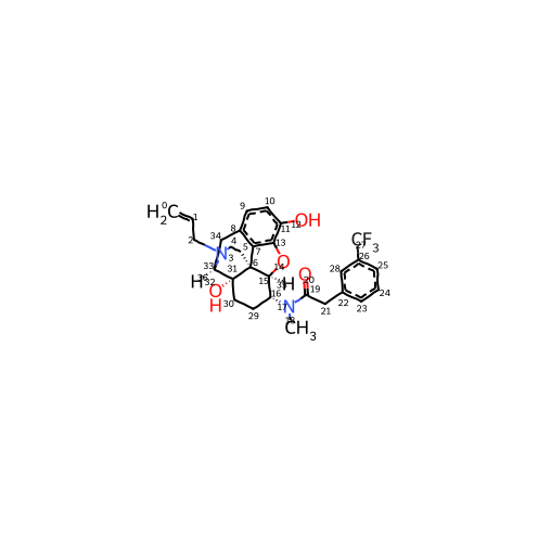 C=CCN1CC[C@]23c4c5ccc(O)c4O[C@H]2[C@H](N(C)C(=O)Cc2cccc(C(F)(F)F)c2)CC[C@@]3(O)[C@H]1C5